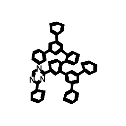 c1ccc(-c2cc(-c3ccccc3)cc(-c3ccccc3-c3ccc(-c4ncnc(-c5ccccc5)n4)cc3-c3cc(-c4ccccc4)cc(-c4ccccc4)c3)c2)cc1